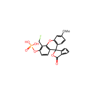 COc1ccc2c(c1)Oc1c(ccc(OP(=O)(O)O)c1CF)C21OC(=O)c2ccccc21